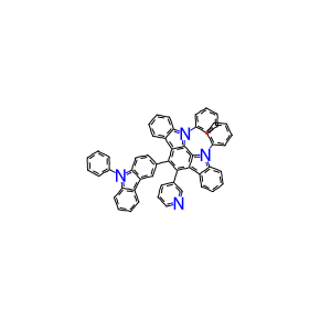 c1ccc(-n2c3ccccc3c3cc(-c4c(-c5cccnc5)c5c6ccccc6n(-c6ccccc6)c5c5c4c4ccccc4n5-c4ccccc4)ccc32)cc1